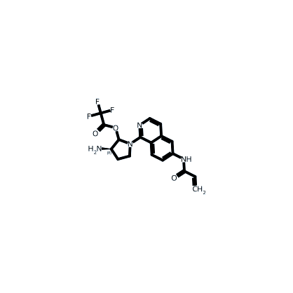 C=CC(=O)Nc1ccc2c(N3CC[C@@H](N)C3OC(=O)C(F)(F)F)nccc2c1